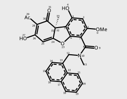 COc1cc(O)c2c(c1C(=O)N(C)Cc1cccc3ccccc13)OC1=CC(O)=C(C(C)=O)C(=O)[C@]12C